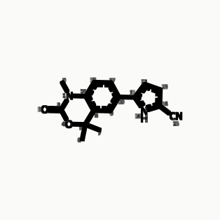 CN1C(=O)OC(C)(C)c2cc(-c3ccc(C#N)[nH]3)ccc21